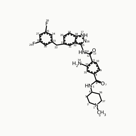 CN1CCC(NC(=O)c2ccc(C(=O)Nc3n[nH]c4ccc(Cc5cc(F)cc(F)c5)cc34)c(N)c2)CC1